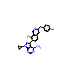 Nc1ncnc2c1c(-c1ccc3cc(Cc4ccc(F)cc4)ncc3c1F)cn2C1CC1